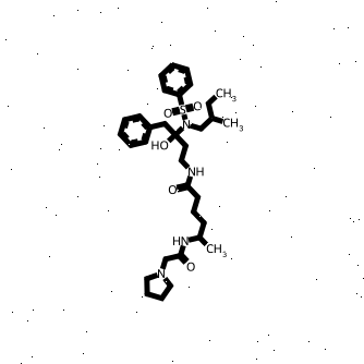 CCC(C)CN(C(O)(CCNC(=O)CCCC(C)NC(=O)CN1CCCC1)Cc1ccccc1)S(=O)(=O)c1ccccc1